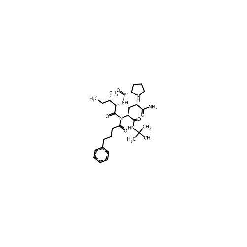 CC[C@H](C)[C@H](NC(=O)[C@@H]1CCCN1)C(=O)N(C(=O)CCCc1ccccc1)[C@@H](CCC(N)=O)C(=O)NC(C)(C)C